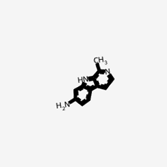 Cc1nccc2c1[nH]c1cc(N)ccc12